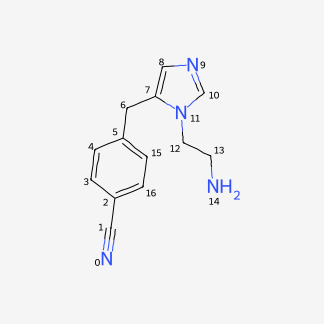 N#Cc1ccc(Cc2cncn2CCN)cc1